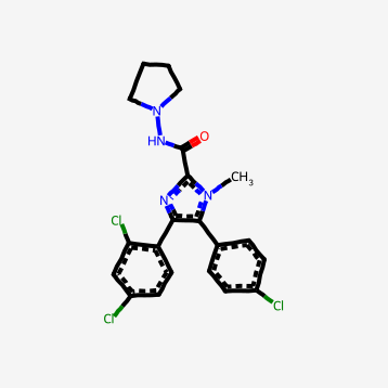 Cn1c(C(=O)NN2CCCC2)nc(-c2ccc(Cl)cc2Cl)c1-c1ccc(Cl)cc1